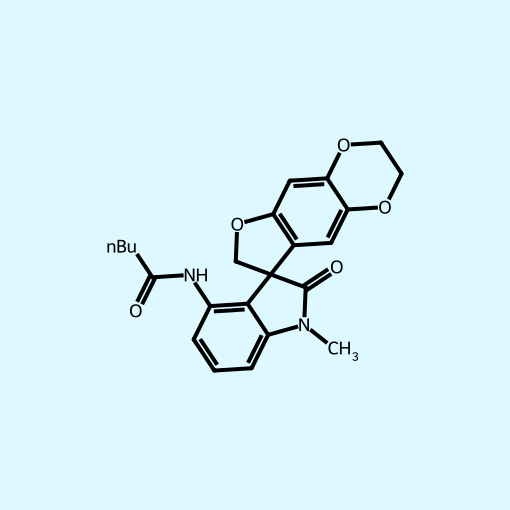 CCCCC(=O)Nc1cccc2c1C1(COc3cc4c(cc31)OCCO4)C(=O)N2C